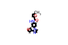 Cc1ccc(C(=O)Nc2ccc(-n3ccnc3C3CCOC3)cc2)o1